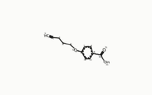 C#CCCCOc1ccc(C(=O)O)cc1